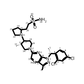 Cc1nn([C@H](C)c2ccc(Cl)cc2Cl)c2nc(N3CCC(N4CCCC4CCS(N)(=O)=O)[C@@H](C)C3)cnc12